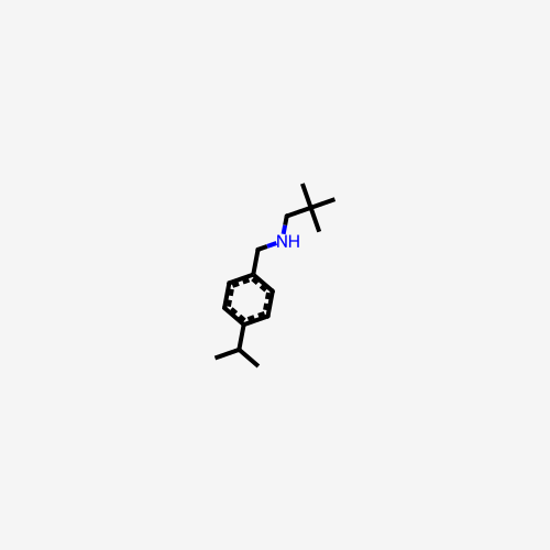 CC(C)c1ccc(CNCC(C)(C)C)cc1